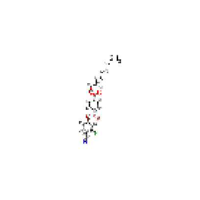 CCCCCCCC1COC(C2CCC(C(=O)Oc3ccc(C#N)c(F)c3)CC2)OC1